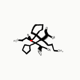 CCCCC1(C(CCCC)(C(=O)O)C(C#N)(C(=O)O)C2CCCC2)CCCC1